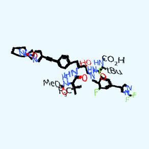 COC(=O)NC(C(=O)NC(Cc1ccc(C#Cc2ccc(N3CC4CCC(C3)N4C3COC3)nc2)cc1)C(O)CN(Cc1c(F)cc(-c2cnn(C(F)F)c2)cc1F)NC(=O)C(NC(=O)O)C(C)(C)C)C(C)(C)C(F)(F)F